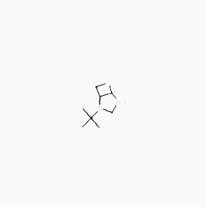 CC(C)(C)N1CNC2OCC21